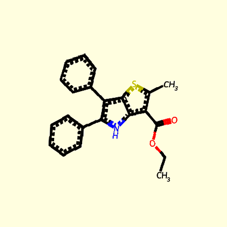 CCOC(=O)c1c(C)sc2c(-c3ccccc3)c(-c3ccccc3)[nH]c12